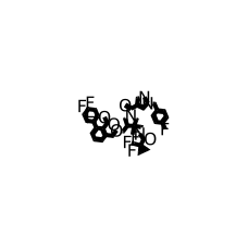 O=C(O)c1c(COCC2CN(C(=O)c3cnn(Cc4ccc(F)cc4)c3)CC23CN(C(=O)C2(C(F)(F)F)CC2)C3)cccc1C1CCC(F)(F)CC1